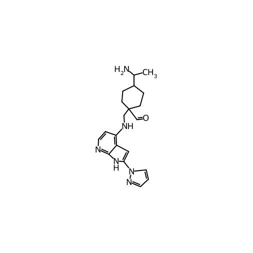 CC(N)C1CCC(C=O)(CNc2ccnc3[nH]c(-n4cccn4)cc23)CC1